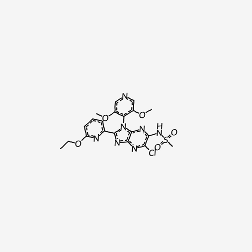 CCOc1cccc(-c2nc3nc(Cl)c(NS(C)(=O)=O)nc3n2-c2c(OC)cncc2OC)n1